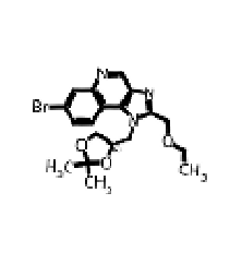 CCOCc1nc2cnc3cc(Br)ccc3c2n1C[C@@H]1COC(C)(C)O1